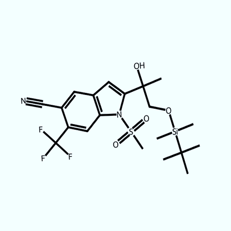 CC(O)(CO[Si](C)(C)C(C)(C)C)c1cc2cc(C#N)c(C(F)(F)F)cc2n1S(C)(=O)=O